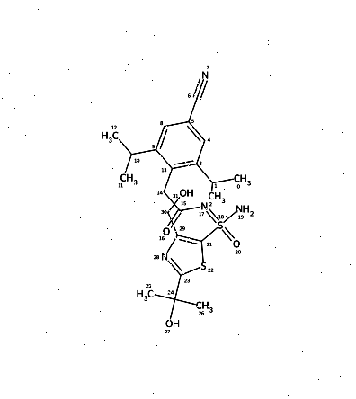 CC(C)c1cc(C#N)cc(C(C)C)c1CC(=O)N=S(N)(=O)c1sc(C(C)(C)O)nc1CO